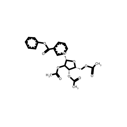 CC(=O)OC[C@H]1O[C@@H]([n+]2cccc(C(=O)Oc3ccccc3)c2)C(OC(C)=O)[C@H]1OC(C)=O